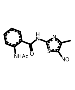 CC(=O)Nc1ccccc1C(=O)Nc1nc(C)c(N=O)s1